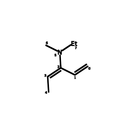 C=C/C(=C\C)N(C)CC